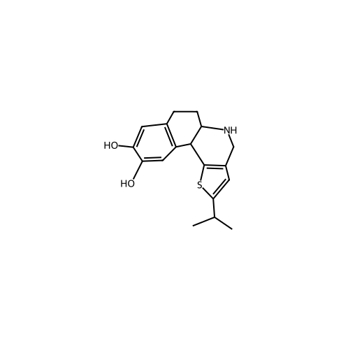 CC(C)c1cc2c(s1)C1c3cc(O)c(O)cc3CCC1NC2